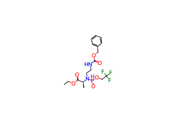 CCOC(=O)[C@H](C)N(CCNC(=O)OCc1ccccc1)[PH](=O)OCC(F)(F)F